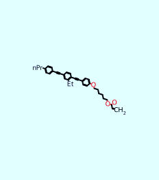 C=CC(=O)OCCCCCCOc1ccc(C#Cc2ccc(C#Cc3ccc(CCC)cc3)cc2CC)cc1